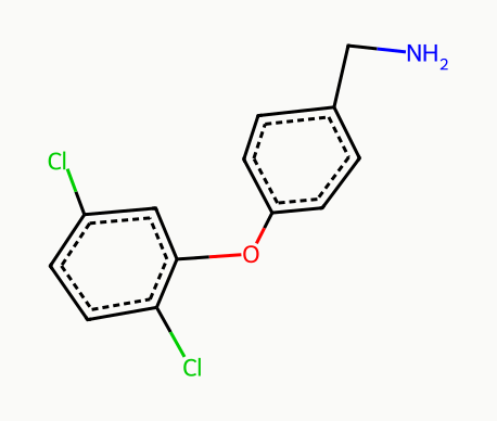 NCc1ccc(Oc2cc(Cl)ccc2Cl)cc1